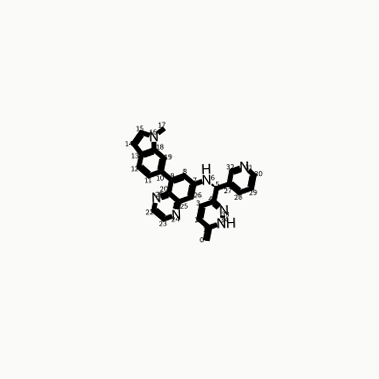 C=C1C=CC([C@H](Nc2cc(-c3ccc4ccn(C)c4c3)c3nccnc3c2)c2cccnc2)=NN1